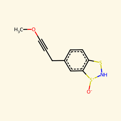 COC#CCc1ccc2c(c1)[S+]([O-])NS2